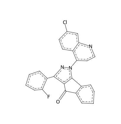 O=C1c2ccccc2-c2c1c(-c1ccccc1F)nn2-c1ccnc2cc(Cl)ccc12